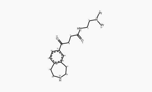 CC(C)N(CCNC(=O)CCC(=O)c1ccc2c(c1)CCNCC2)C(C)C